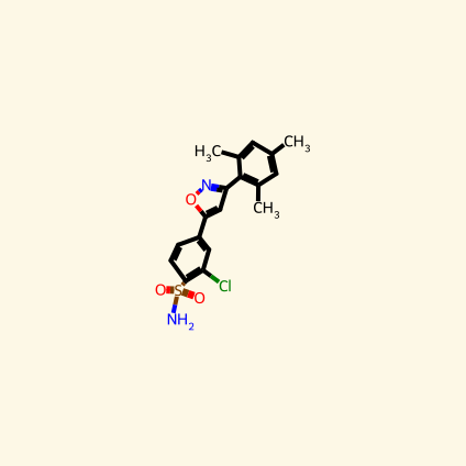 Cc1cc(C)c(-c2cc(-c3ccc(S(N)(=O)=O)c(Cl)c3)on2)c(C)c1